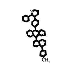 Cc1ccc(-c2cccc3c(C4=c5ccccc5=C(C5=CC=C(c6cccnc6-c6ccccc6)CC5)C5C=CC=CC45)cccc23)cc1